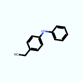 N#CCc1ccc(Nc2ccccc2)cc1